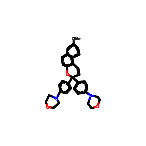 COc1ccc2c3c(ccc2c1)OC(c1ccc(N2CCOCC2)cc1)(c1ccc(N2CCOCC2)cc1)C=C3